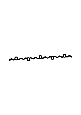 C=CCOCCCCOCCCCOCCCCOCCCCOCC=C